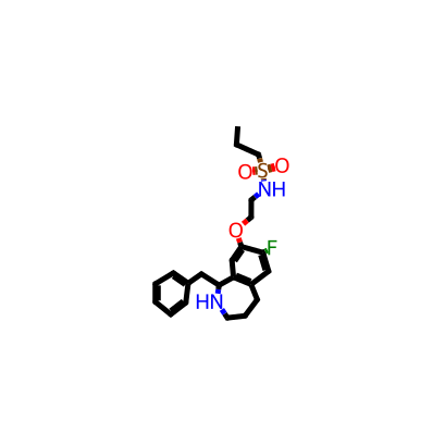 CCCS(=O)(=O)NCCOc1cc2c(cc1F)CCCNC2Cc1ccccc1